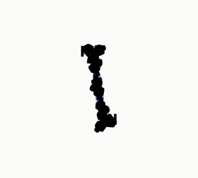 Cc1ccc(N(c2cccnc2)c2ccc3c(c2)C(C)(C)C2=CC(/C=C/c4ccc5c(c4)C(C)(C)c4cc(/C=C/c6ccc7c(c6)C(C)(C)c6cc(N(c8ccc(C)cc8)c8cccnc8)ccc6-7)ccc4-5)CC=C23)cc1